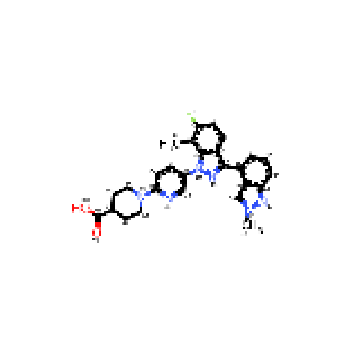 Cc1c(F)ccc2c(-c3cccc4nn(C)cc34)nn(-c3ccc(N4CCC(C(=O)O)CC4)nc3)c12